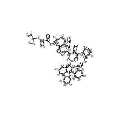 CCC(CC)CNC(=O)Cn1cccc(NC(=O)[C@H](CCC(=O)C(C#N)=P(c2ccccc2)(c2ccccc2)c2ccccc2)NC(=O)c2cncn2C)c1=O